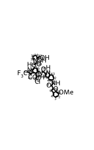 COc1cccc2cc(C(=O)Nc3ccc4[nH]c(C(=O)N5C[C@@H](CCl)c6c5cc(OC(=O)N5CCC[C@]5(O)CO)c5[nH]c(C(F)(F)F)c(C(=O)O)c65)cc4c3)oc12